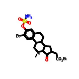 CCOC(=O)CC1CC2C3CCc4cc(OS(N)(=O)=O)c(CC)cc4C3C[C@@H](C)C2C1=O